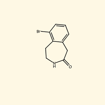 O=C1Cc2cccc(Br)c2CCN1